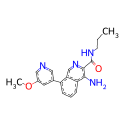 CCCNC(=O)c1ncc2c(-c3cncc(OC)c3)cccc2c1N